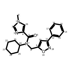 Cn1cnc(C(=O)N(Cc2cc(-c3ccccc3)no2)C2CCCCC2)c1